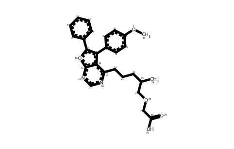 COc1ccc(-c2c(-c3ccccc3)oc3ncnc(CCCC(C)COCC(=O)O)c23)cc1